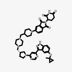 CC1(Oc2ccc3[nH]nc(-c4cc(N5CC[C@H](CN6CCN(CC7CCN(c8ccc9c(c8)C(=O)N(C8CCC(=O)NC8=O)C9=O)CC7)CC6)C5)ncn4)c3c2)CC1